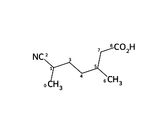 CC(C#N)CCC(C)CC(=O)O